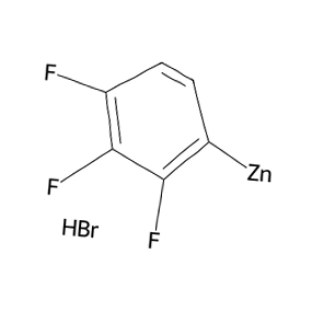 Br.Fc1cc[c]([Zn])c(F)c1F